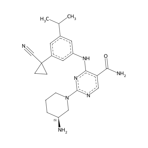 CC(C)c1cc(Nc2nc(N3CCC[C@H](N)C3)ncc2C(N)=O)cc(C2(C#N)CC2)c1